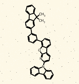 CC1(C)c2ccccc2-c2ccc(-c3cccc(-c4cccc5c4oc4nc(-n6c7ccccc7c7ccccc76)ccc45)c3)cc21